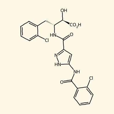 O=C(N[C@H](Cc1ccccc1Cl)[C@@H](O)C(=O)O)c1cc(NC(=O)c2ccccc2Cl)[nH]n1